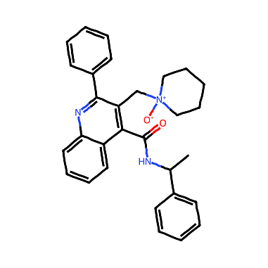 CC(NC(=O)c1c(C[N+]2([O-])CCCCC2)c(-c2ccccc2)nc2ccccc12)c1ccccc1